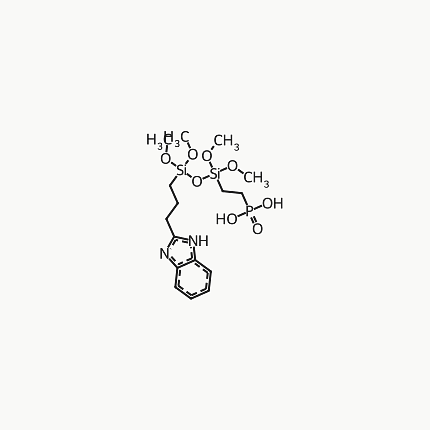 CO[Si](CCCc1nc2ccccc2[nH]1)(OC)O[Si](CCP(=O)(O)O)(OC)OC